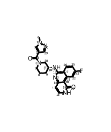 Cn1cc(C(=O)N2CCC[C@@H](Nc3nc4cc[nH]c(=O)c4c4cc(F)ccc34)C2)cn1